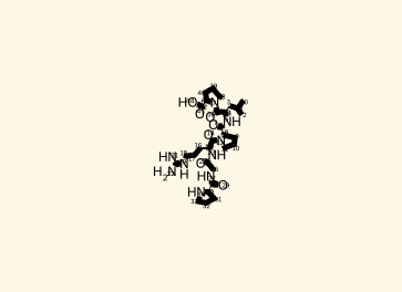 CC(C)C[C@H](NC(=O)[C@@H]1CCCN1C(=O)[C@H](CCCNC(=N)N)NC(=O)CNC(=O)[C@@H]1CCCN1)C(=O)N1CCC[C@H]1C(=O)O